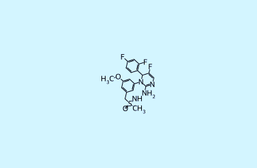 COc1cc(CS(C)(=N)=O)cc(N2C(N)=NC=C(F)C2c2ccc(F)cc2F)c1